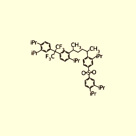 CC(C)c1ccc(C(c2ccc(C(C)C)c(C(C)CCC(C)c3ccc(S(=O)(=O)c4ccc(C(C)C)c(C(C)C)c4)cc3C(C)C)c2)(C(F)(F)F)C(F)(F)F)cc1C(C)C